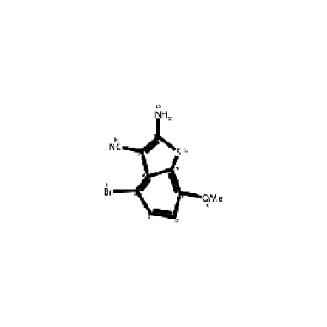 COc1ccc(Br)c2c(C#N)c(N)sc12